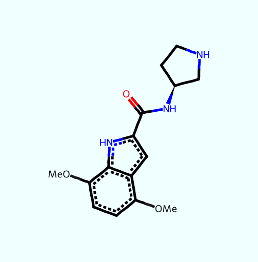 COc1ccc(OC)c2[nH]c(C(=O)N[C@H]3CCNC3)cc12